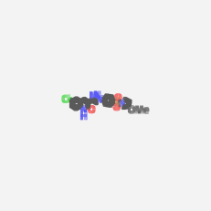 COC1CCN(S(=O)(=O)c2ccc(-n3cc(-c4cc5cc(Cl)ccc5[nH]c4=O)nn3)cc2)C1